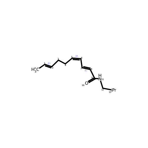 C/C=C/CC/C=C\C=C\C(=O)NCC(C)C